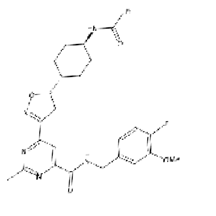 COc1cc(CNC(=O)c2cc(C3=NOC([C@H]4CC[C@H](NC(=O)C(C)C)CC4)C3)nc(C)n2)ccc1F